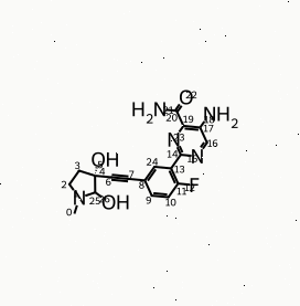 CN1CC[C@@](O)(C#Cc2ccc(F)c(-c3ncc(N)c(C(N)=O)n3)c2)C1O